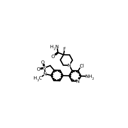 CN1c2ccc(-c3cnc(N)c(Cl)c3N3CCC(F)(C(N)=O)CC3)cc2CS1(=O)=O